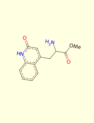 COC(=O)C(N)Cc1cc(=O)[nH]c2ccccc12